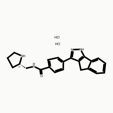 Cl.Cl.O=C(NC[C@@H]1CCCN1)c1ccc(-c2n[nH]c3c2Cc2ccccc2-3)cc1